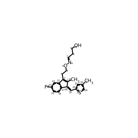 CC1=C(CCON=CCCO)c2cc(F)ccc2C1=Cc1cc(C)cs1